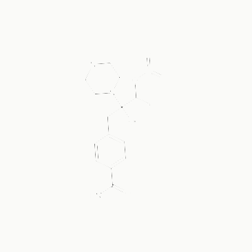 CC(O[SH](=O)=O)C(O)(Cc1ccc(C(N)=O)cc1)N1CCNCC1